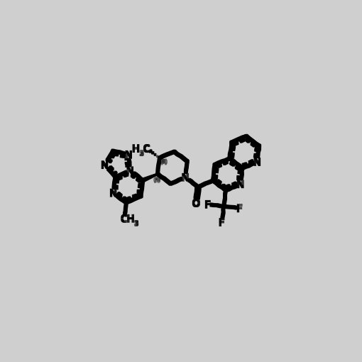 Cc1cc([C@@H]2CN(C(=O)c3cc4cccnc4nc3C(F)(F)F)CC[C@H]2C)n2ncnc2n1